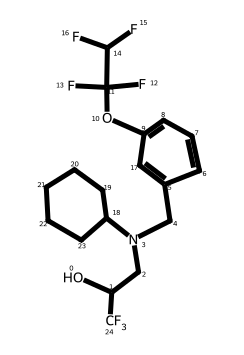 OC(CN(Cc1cccc(OC(F)(F)C(F)F)c1)C1CCCCC1)C(F)(F)F